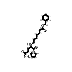 NC(=O)CCC(NCCCCCCC(=O)OCc1ccccc1)C(=O)N1CCCC1